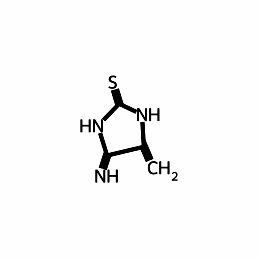 C=C1NC(=S)NC1=N